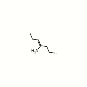 [CH2]CCC(N)=CCC